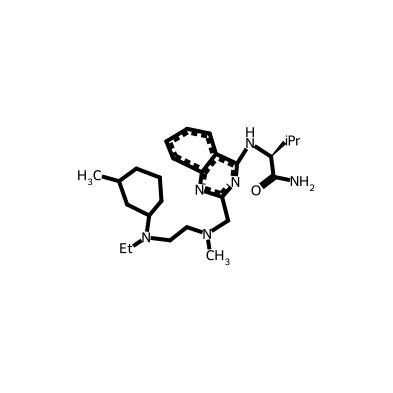 CCN(CCN(C)Cc1nc(N[C@H](C(N)=O)C(C)C)c2ccccc2n1)C1CCCC(C)C1